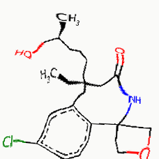 C[C@H](O)C[C@]1(C)C(=O)NC2(COC2)c2ccc(Cl)cc21